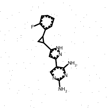 Nc1ncc(-c2cc(C3CC3c3ccccc3F)[nH]n2)c(N)n1